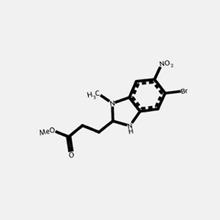 COC(=O)CCC1Nc2cc(Br)c([N+](=O)[O-])cc2N1C